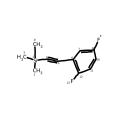 C[Si](C)(C)C#Cc1cc(F)ccc1F